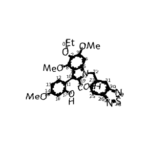 CCOc1c(OC)cc2c(c1OC)c(-c1ccc(OC)cc1O)c(C(=O)O)n2Cc1ccc2nsnc2c1